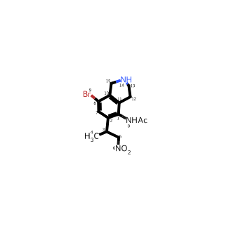 CC(=O)Nc1c(C(C)C[N+](=O)[O-])cc(Br)c2c1CCNC2